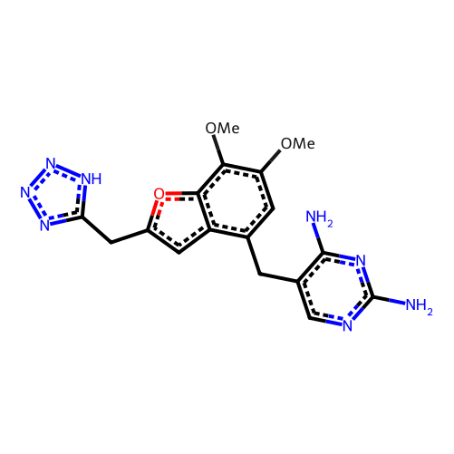 COc1cc(Cc2cnc(N)nc2N)c2cc(Cc3nnn[nH]3)oc2c1OC